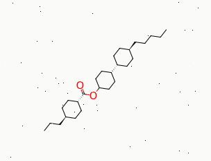 CCCCC[C@H]1CC[C@H](C2CCC(OC(=O)[C@H]3CC[C@H](CCC)CC3)CC2)CC1